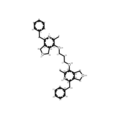 Cc1nc(Cc2ccccc2)c2c(c1OCCCOc1c(C)nc(Cc3ccccc3)c3c1COC3)COC2